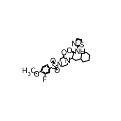 COc1ccc(S(=O)(=O)N2CCN(C(CC3CCCCC3)C(=O)Nc3nccs3)C(=O)C2)cc1F